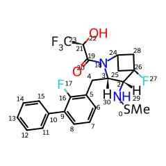 CSN[C@@H]1[C@H](Cc2cccc(-c3ccccc3)c2F)N(C(=O)[C@H](O)C(F)(F)F)C2CC1(F)C2